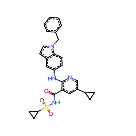 O=C(NS(=O)(=O)C1CC1)c1cc(C2CC2)cnc1Nc1ccc2c(ccn2Cc2ccccc2)c1